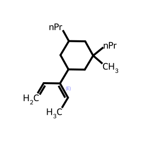 C=C/C(=C\C)C1CC(CCC)CC(C)(CCC)C1